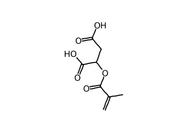 C=C(C)C(=O)OC(CC(=O)O)C(=O)O